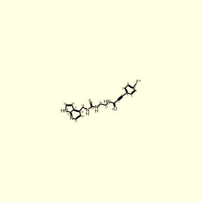 O=C(C#Cc1ccc(F)cc1)NCCNC(=S)NCc1ccnc2[nH]ccc12